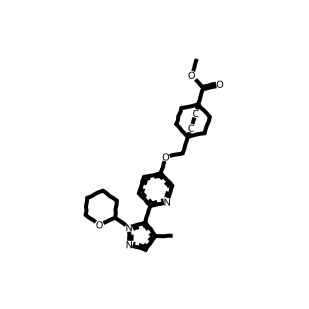 COC(=O)C12CCC(COc3ccc(-c4c(C)cnn4C4CCCCO4)nc3)(CC1)CC2